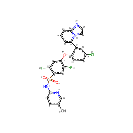 N#Cc1ccc(NS(=O)(=O)c2cc(F)c(Oc3ccc(Cl)cc3-c3cccc4nccn34)cc2F)nc1